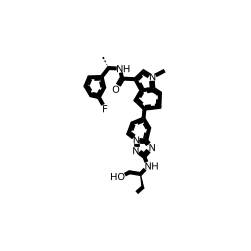 CC[C@@H](CO)Nc1nc2cc(-c3ccc4c(c3)c(C(=O)N[C@@H](C)c3cccc(F)c3)cn4C)ccn2n1